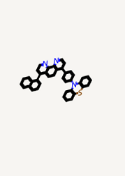 c1ccc2c(c1)Sc1ccccc1N2c1ccc(-c2ccnc3c2ccc2c(-c4cccc5ccccc45)ccnc23)cc1